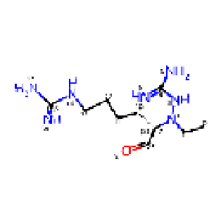 CCN(NC(=N)N)[C@H]([C]=O)CCCCNC(=N)N